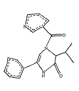 CC(C)C1C(=O)NC(c2ccccc2)=CN1C(=O)c1cccnc1